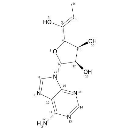 C/C=C(\O)[C@H]1O[C@@H](n2cnc3c(N)ncnc32)[C@H](O)[C@@H]1O